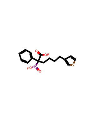 O=C(O)C(CCCCc1ccsc1)(c1ccccc1)[PH](=O)O